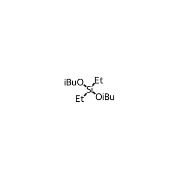 CC[Si](CC)(OCC(C)C)OCC(C)C